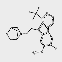 COc1cc2c(cc1F)c1ccnc(C(F)(F)F)c1n2CCN1CC2CC1CO2